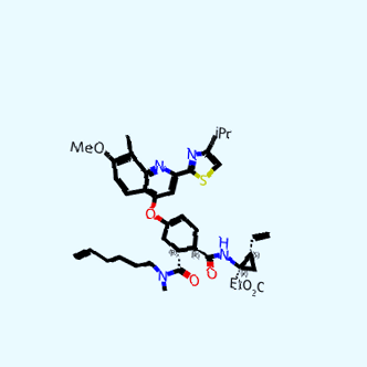 C=CCCCCN(C)C(=O)[C@@H]1CC(Oc2cc(-c3nc(C(C)C)cs3)nc3c(C)c(OC)ccc23)=CC[C@H]1C(=O)N[C@]1(C(=O)OCC)C[C@H]1C=C